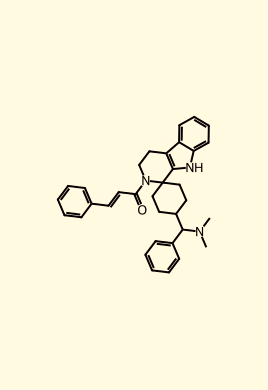 CN(C)C(c1ccccc1)C1CCC2(CC1)c1[nH]c3ccccc3c1CCN2C(=O)C=Cc1ccccc1